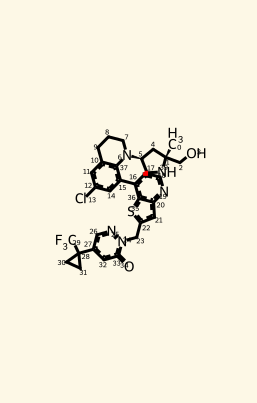 C[C@]1(CO)C[C@H](N2CCCc3cc(Cl)cc(-c4ccnc5cc(Cn6ncc(C7(C(F)(F)F)CC7)cc6=O)sc45)c32)CN1